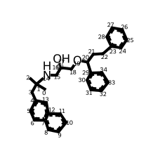 CC(C)(Cc1ccc2ccccc2c1)NC[C@@H](O)COC(CCc1ccccc1)c1ccccc1